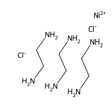 NCCN.NCCN.NCCN.[Cl-].[Cl-].[Ni+2]